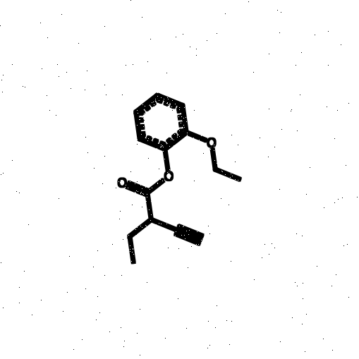 C#CC(CC)C(=O)Oc1ccccc1OCC